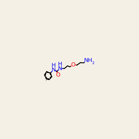 NCCCOCCCNC(=O)Nc1cc[c]cc1